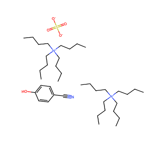 CCCC[N+](CCCC)(CCCC)CCCC.CCCC[N+](CCCC)(CCCC)CCCC.N#Cc1ccc(O)cc1.O=S(=O)([O-])[O-]